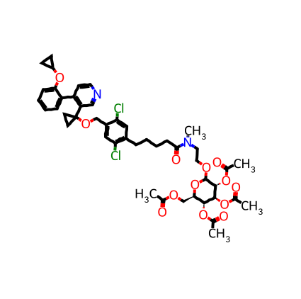 CC(=O)OC[C@H]1OC(OCCN(C)C(=O)CCCCc2cc(Cl)c(COC3(c4cnccc4-c4ccccc4OC4CC4)CC3)cc2Cl)[C@H](OC(C)=O)[C@@H](OC(C)=O)[C@@H]1OC(C)=O